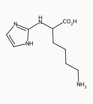 NCCCCC(Nc1ncc[nH]1)C(=O)O